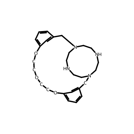 c1cc2cc(c1)OCCOCCOc1cccc(c1)CN1CCNCCN(CCNCC1)C2